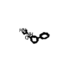 O=C(N[C@@H]1CCNC1)C1=C\C=C/C=C(C2=C/C=C\C=C/C=C\2)\C=C/1